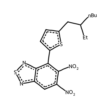 CCCCC(CC)Cc1ccc(-c2c([N+](=O)[O-])c([N+](=O)[O-])cc3nsnc23)s1